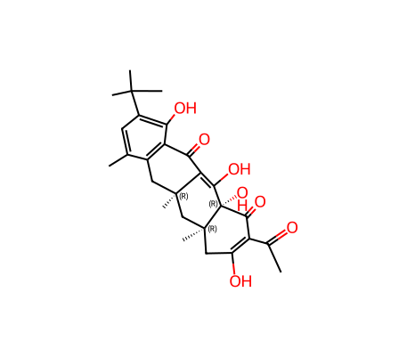 CC(=O)C1=C(O)C[C@@]2(C)C[C@@]3(C)Cc4c(C)cc(C(C)(C)C)c(O)c4C(=O)C3=C(O)[C@@]2(O)C1=O